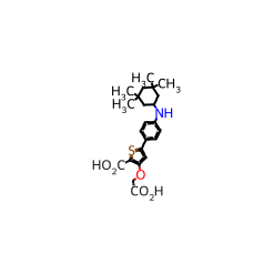 CC1(C)CC(Nc2ccc(-c3cc(OCC(=O)O)c(C(=O)O)s3)cc2)CC(C)(C)C1